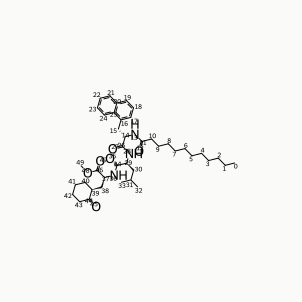 CCCCCCCCCCCC(=O)N[C@@H](Cc1cccc2ccccc12)C(=O)N[C@@H](CC(C)C)C(=O)N[C@@H](C[C@@H]1CCCCC1=O)C(=O)OC